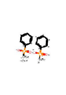 COP(=O)([O-])c1ccccc1.COP(=O)([O-])c1ccccc1.[Zn+2]